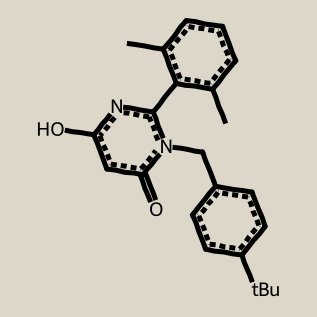 Cc1cccc(C)c1-c1nc(O)cc(=O)n1Cc1ccc(C(C)(C)C)cc1